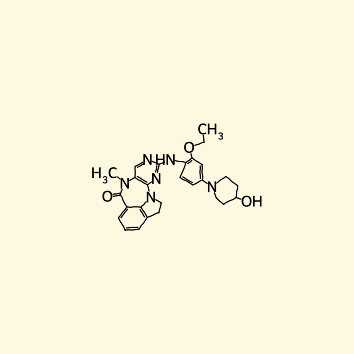 CCOc1cc(N2CCC(O)CC2)ccc1Nc1ncc2c(n1)N1CCc3cccc(c31)C(=O)N2C